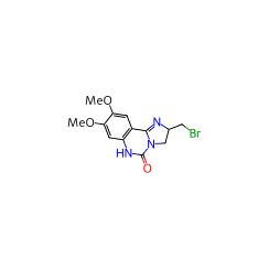 COc1cc2c(cc1OC)C1=NC(CBr)CN1C(=O)N2